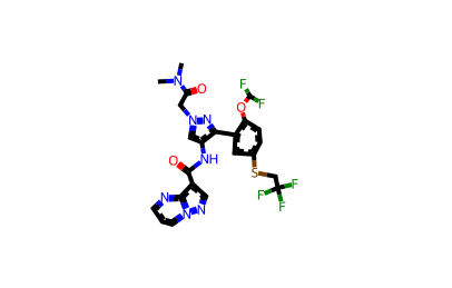 CN(C)C(=O)Cn1cc(NC(=O)c2cnn3cccnc23)c(-c2cc(SCC(F)(F)F)ccc2OC(F)F)n1